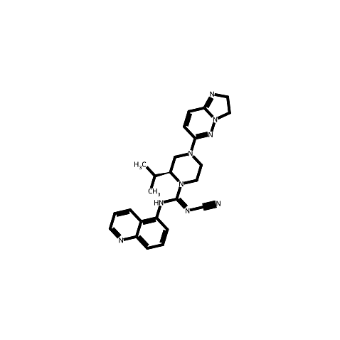 CC(C)[C@H]1CN(C2=NN3CCN=C3C=C2)CCN1/C(=N\C#N)Nc1cccc2ncccc12